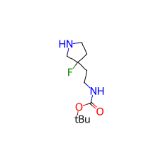 CC(C)(C)OC(=O)NCCC1(F)CCNC1